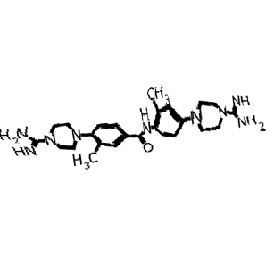 Cc1cc(N2CCN(C(=N)N)CC2)ccc1NC(=O)c1ccc(N2CCN(C(=N)N)CC2)c(C)c1